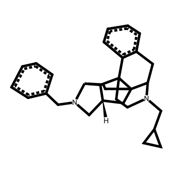 c1ccc(CN2C[C@H]3CC45CCC2C3C42CCN(CC3CC3)C5Cc3ccccc32)cc1